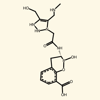 CNCC1=C(CO)NNN1CC(=O)N[C@H]1Cc2cccc(C(=O)O)c2OB1O